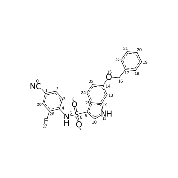 N#Cc1ccc(NS(=O)(=O)c2c[nH]c3cc(OCc4ccccc4)ccc23)c(F)c1